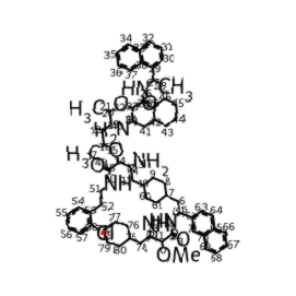 COC(C(=O)N[C@@H](CC1CCC(C[C@@H](N)C(OC(C)CCC(C)OC(C(=O)NC(C)c2cccc3ccccc23)[C@H](N)CC2CCCCC2)C(=O)NCCc2ccccc2Cl)CC1)c1ccc2ccccc2c1)[C@H](N)CC1CCCCC1